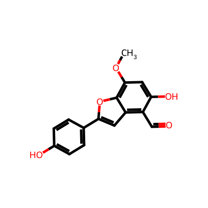 COc1cc(O)c(C=O)c2cc(-c3ccc(O)cc3)oc12